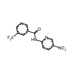 O=C(Nc1ccc([N+](=O)[O-])cn1)c1cccc(C(F)(F)F)c1